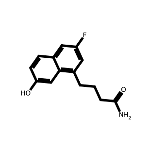 NC(=O)CCCc1cc(F)cc2ccc(O)cc12